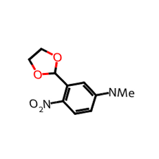 CNc1ccc([N+](=O)[O-])c(C2OCCO2)c1